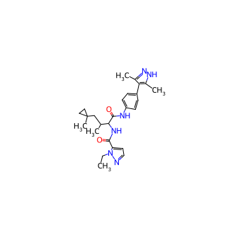 CCn1nccc1C(=O)NC(C(=O)Nc1ccc(-c2c(C)n[nH]c2C)cc1)C(C)CC1(C)CC1